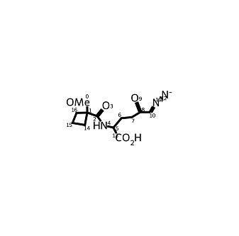 COC1(C(=O)NC(CCC(=O)C=[N+]=[N-])C(=O)O)CCC1